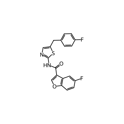 O=C(Nc1ncc(Cc2ccc(F)cc2)s1)c1coc2ccc(F)cc12